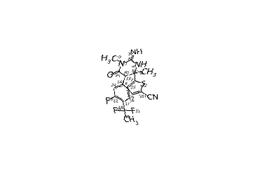 CN1C(=N)N[C@](C)(c2ccc(C#N)s2)[C@@H](c2ccc(C(C)(F)F)c(F)c2)C1=O